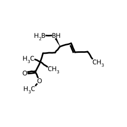 BB[C@@H](/C=C/CC)CCC(C)(C)C(=O)OC